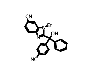 CCn1c(C(O)(c2ccccc2)c2ccc(C#N)cc2)nc2ccc(C#N)cc21